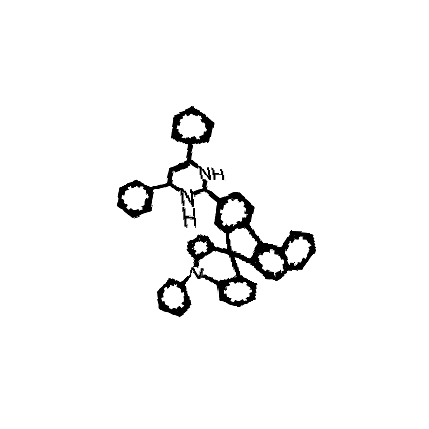 C1=C(c2ccccc2)NC(c2ccc3c(c2)C2(c4ccccc4N(c4ccccc4)c4ccccc42)c2ccc4ccccc4c2-3)NC1c1ccccc1